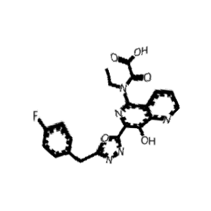 CCN(C(=O)C(=O)O)c1nc(-c2nnc(Cc3ccc(F)cc3)o2)c(O)c2ncccc12